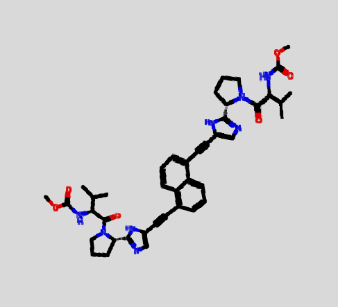 COC(=O)NC(C(=O)N1CCC[C@H]1c1ncc(C#Cc2cccc3c(C#Cc4cnc([C@@H]5CCCN5C(=O)[C@@H](NC(=O)OC)C(C)C)[nH]4)cccc23)[nH]1)C(C)C